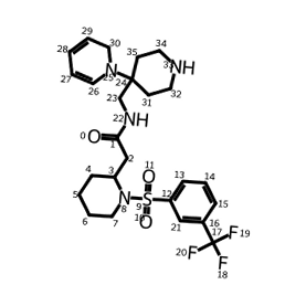 O=C(CC1CCCCN1S(=O)(=O)c1cccc(C(F)(F)F)c1)NCC1(N2C=CC=CC2)CCNCC1